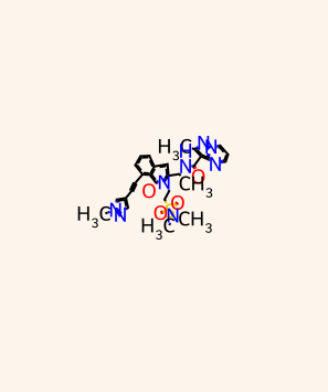 Cc1nn2cccnc2c1C(=O)NC(C)c1cc2cccc(C#Cc3cnn(C)c3)c2c(=O)n1CCS(=O)(=O)N(C)C